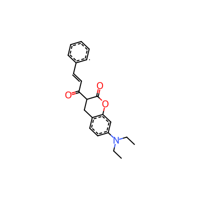 CCN(CC)c1ccc2c(c1)OC(=O)C(C(=O)C=Cc1[c]cccc1)C2